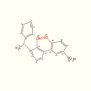 CC(c1ccccc1)c1cccc(-c2cc(S(=O)(=O)O)ccc2O)c1O